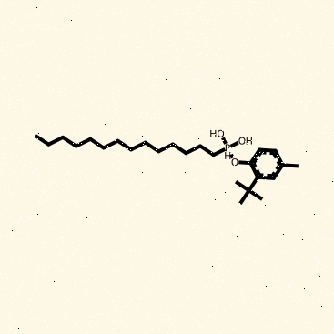 CCCCCCCCCCCCCC[PH](O)(O)Oc1ccc(C)cc1C(C)(C)C